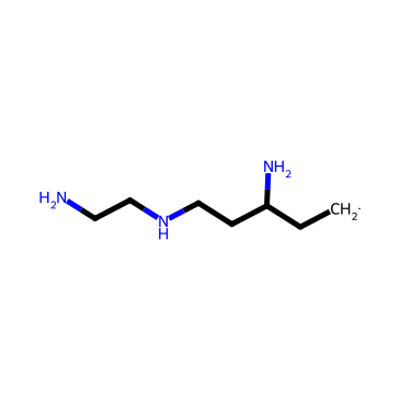 [CH2]CC(N)CCNCCN